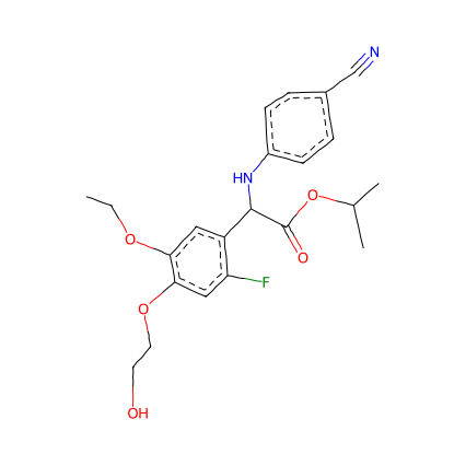 CCOc1cc(C(Nc2ccc(C#N)cc2)C(=O)OC(C)C)c(F)cc1OCCO